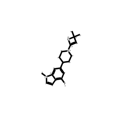 Cn1ccc2c(F)cc(C3CCN(C4=CC(C)(C)O4)CC3)cc21